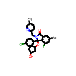 CC(=O)c1cc(F)c2c(c1)C(=O)N(Cc1ccc(C#N)cn1)C2(OC1CCC(O)C1)c1ccc(Cl)cc1